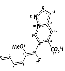 C=C/C=C\C(OC)=C(/F)c1cn2nccc2cc1C(=O)O